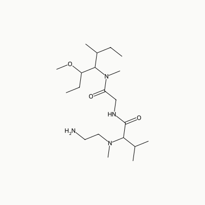 CCC(C)C(C(CC)OC)N(C)C(=O)CNC(=O)C(C(C)C)N(C)CCN